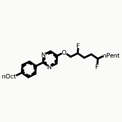 CCCCCCCCc1ccc(-c2ncc(OCC(F)CCC(F)CCCCC)cn2)cc1